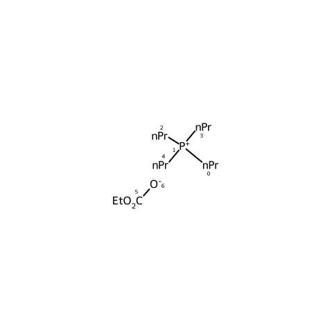 CCC[P+](CCC)(CCC)CCC.CCOC(=O)[O-]